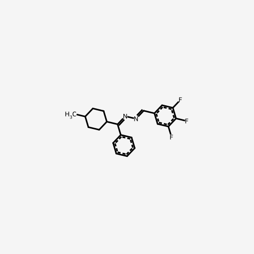 CC1CCC(C(=NN=Cc2cc(F)c(F)c(F)c2)c2ccccc2)CC1